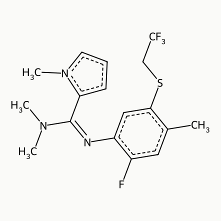 Cc1cc(F)c(/N=C(\c2cccn2C)N(C)C)cc1SCC(F)(F)F